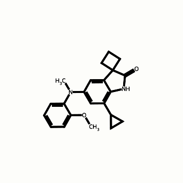 COc1ccccc1N(C)c1cc(C2CC2)c2c(c1)C1(CCC1)C(=O)N2